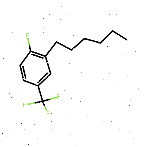 CCCCCCc1cc(C(F)(F)F)ccc1F